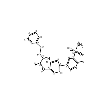 Cc1ccc(-c2ccc(O[C@@H](C)[C@H](O)CCc3cccnc3)cc2)cc1S(N)(=O)=O